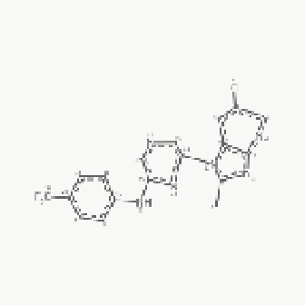 Cc1nc2ncc(Cl)cc2n1-c1cncc(Nc2ccc(C(F)(F)F)cc2)n1